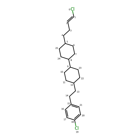 Cl/C=C/CCC1CCC(C2CCC(CCc3ccc(Cl)cc3)CC2)CC1